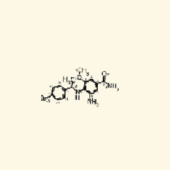 COc1cc(C(N)=O)cc(N)c1NC(C)c1ccc(Br)cc1